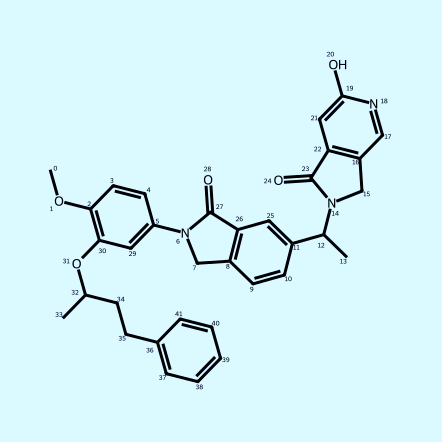 COc1ccc(N2Cc3ccc(C(C)N4Cc5cnc(O)cc5C4=O)cc3C2=O)cc1OC(C)CCc1ccccc1